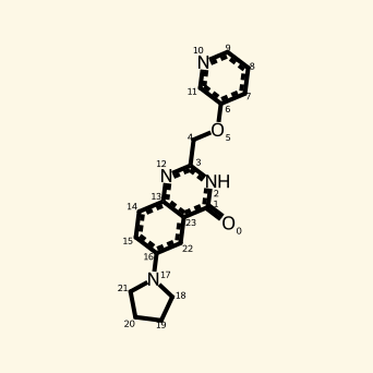 O=c1[nH]c(COc2cccnc2)nc2ccc(N3CCCC3)cc12